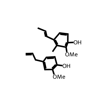 C=CCc1ccc(O)c(OC)c1.CC=Cc1ccc(O)c(OC)c1C